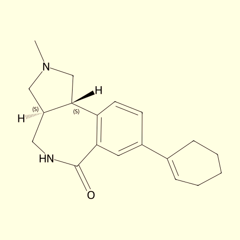 CN1C[C@@H]2CNC(=O)c3cc(C4=CCCCC4)ccc3[C@H]2C1